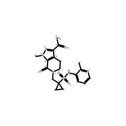 Cc1ncccc1NS(=O)(=O)C1(CN2CCc3c(C(N)=O)nn(C)c3C2=O)CC1